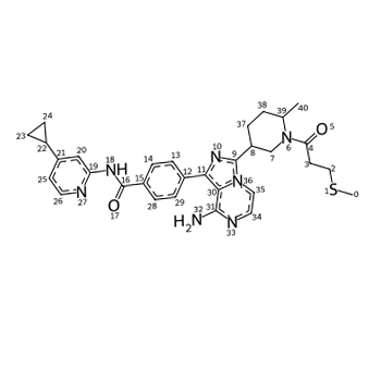 CSCCC(=O)N1CC(c2nc(-c3ccc(C(=O)Nc4cc(C5CC5)ccn4)cc3)c3c(N)nccn23)CCC1C